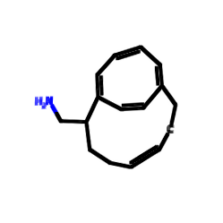 NCC1CC/C=C\CCC2=C/C=C\C=C1/C=C\2